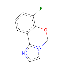 Fc1cccc2c1OCn1ccnc1-2